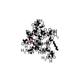 CCCCCCC[C@H]1O[C@@H](n2cnc3c(=O)[nH]c(N)nc32)CC1OP(=O)(S)OC[C@H]1O[C@@H](n2cnc3c(=O)[nH]c(N)nc32)C[C@H]1OP(=O)(S)OC[C@H]1O[C@@H](n2cnc3c(N)ncnc32)C(OCCOC)C1OP(=O)(O)OC[C@H]1O[C@@H](n2cc(C)c(=O)[nH]c2=O)C(OCCOC)[C@H]1OP(=O)(S)OC[C@H]1O[C@@H](n2cc(C)c(=O)[nH]c2=O)C(OCCOC)C1OP(=O)(S)OC[C@H]1O[C@@H](n2cc(C)c(N)nc2=O)C(OCCOC)C1O